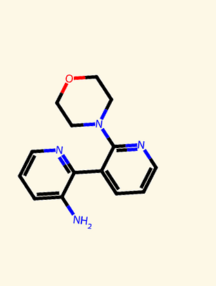 Nc1cccnc1-c1cccnc1N1CCOCC1